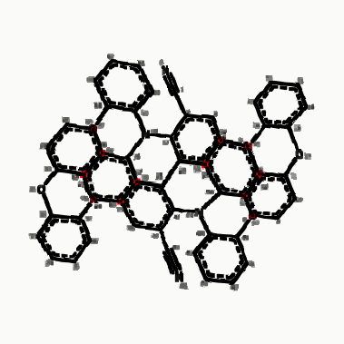 N#Cc1cc(N2c3ccccc3Oc3ccccc32)cc(-c2cc(N3c4ccccc4Oc4ccccc43)cc(C#N)c2N2c3ccccc3Oc3ccccc32)c1N1c2ccccc2Oc2ccccc21